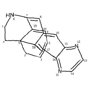 C1=CCC23CCNC(=Cc4cc5nccnc5cc42)C3=C1